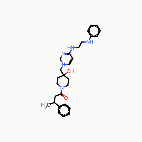 CC(CC(=O)N1CCC(O)(CN2C=CC(NCCNc3ccccc3)=NC2)CC1)c1ccccc1